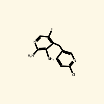 Nc1ncc(F)c(Cc2ccc(Cl)nc2)c1N